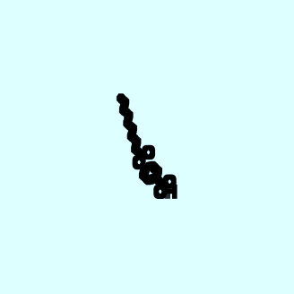 CCCCCCCCCC(=O)Oc1ccc(C(=O)O)cc1